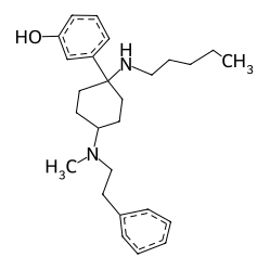 CCCCCNC1(c2cccc(O)c2)CCC(N(C)CCc2ccccc2)CC1